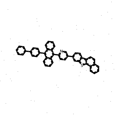 c1ccc(-c2ccc(-c3c4ccccc4c(-c4ccc(-c5ccc6c(c5)sc5c7ccccc7ccc65)cn4)c4ccccc34)cc2)cc1